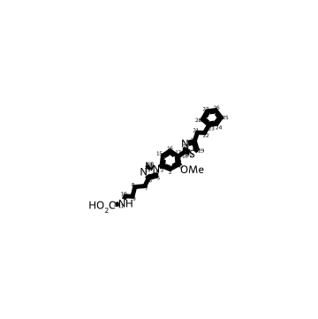 COc1cc(-n2cc(CCCCNC(=O)O)nn2)ccc1-c1nc(CCc2ccccc2)cs1